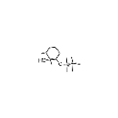 CC1CCCC(O[Si](C)(C)C(C)(C)C)C1(C)O